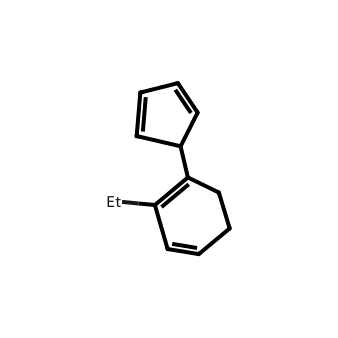 CCC1=C(C2C=CC=C2)CCC=C1